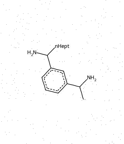 [CH2]C(N)c1cccc(C(N)CCCCCCC)c1